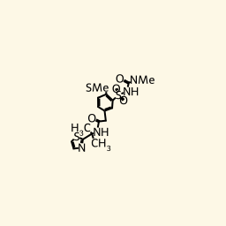 CNC(=O)NS(=O)(=O)c1cc(CC(=O)NC(C)(C)c2nccs2)ccc1SC